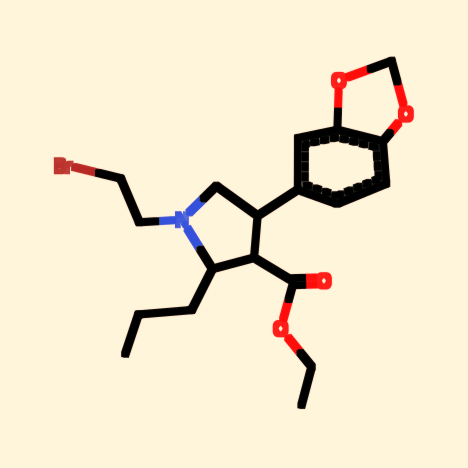 CCCC1C(C(=O)OCC)C(c2ccc3c(c2)OCO3)CN1CCBr